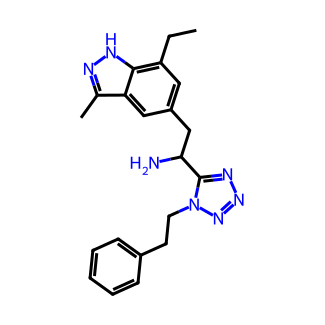 CCc1cc(CC(N)c2nnnn2CCc2ccccc2)cc2c(C)n[nH]c12